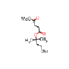 COC(=O)CCC(=O)OC(C)(C)CCC(C)(C)C